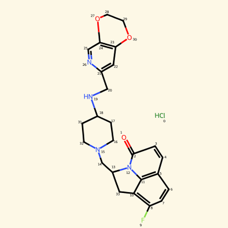 Cl.O=c1ccc2ccc(F)c3c2n1C(CN1CCC(NCc2cc4c(cn2)OCCO4)CC1)C3